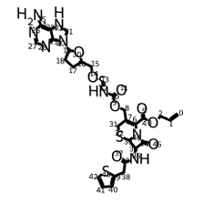 C=CCOC(=O)C1=C(COC(=O)NSOCC2CCC(N3CNc4c(N)ncnc43)O2)CSC2C(NC(=O)Cc3cccs3)C(=O)N12